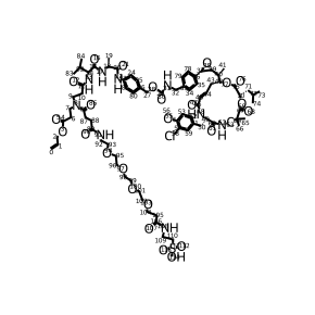 C=CCOC(=O)CCN(CCC(=O)N[C@H](C(=O)N[C@@H](C)C(=O)Nc1ccc(COC(=O)NCc2ccc([C@H]3O[C@@H]3[C@@H](C)[C@@H]3C/C=C/C(=O)N[C@@H](Cc4ccc(OC)c(Cl)c4)C(=O)NCC(C)(C)C(=O)O[C@@H](CC(C)C)C(=O)O3)cc2)cc1)C(C)C)C(=O)CCC(=O)NCCOCCOCCOCCOCCC(=O)NCCS(=O)(=O)O